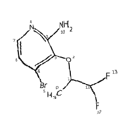 CC(Oc1c(Br)ccnc1N)C(F)F